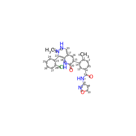 Cc1ccc(C(=O)Nc2ccon2)cc1-c1cc2c([nH]c1=O)=C(c1ccccc1Cl)N(C)NC=2